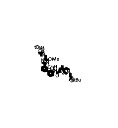 COc1nc(-c2cccc(-c3cccc(NC(=O)c4cc(C)c5c(n4)CN(CCO[Si](C)(C)C(C)(C)C)CC5)c3Cl)c2Cl)cnc1CN1CC(C)(O[Si](C)(C)C(C)(C)C)C1